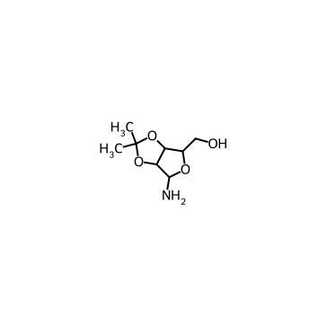 CC1(C)OC2C(N)OC(CO)C2O1